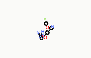 N#CN1CC2CCC1[C@@H]2NC(=O)c1ccc(-c2ccncc2Oc2ccc(F)cc2)cc1